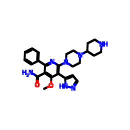 COc1c(C(N)=O)c(-c2ccccc2)nc(N2CCN(C3CCNCC3)CC2)c1-c1ccn[nH]1